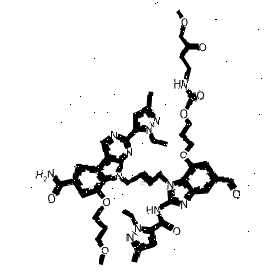 CCn1nc(C)cc1C(=O)Nc1nc2cc(C=O)cc(OCCCOC(=O)NCCC(=O)COC)c2n1C/C=C/Cn1c2nc(-c3cc(C)nn3CC)ncc2c2cc(C(N)=O)cc(OCCCOC)c21